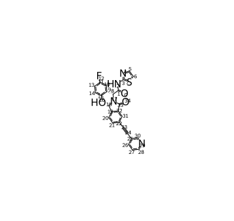 O=C(Nc1nccs1)[C@@H](c1cc(F)ccc1O)N1Cc2ccc(C#Cc3cccnc3)cc2C1=O